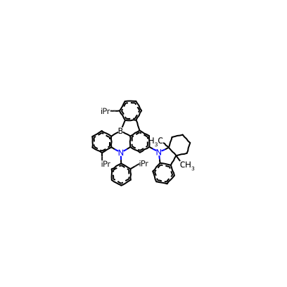 CC(C)c1ccccc1N1c2cc(N3c4ccccc4C4(C)CCCCC34C)cc3c2B(c2cccc(C(C)C)c21)c1c-3cccc1C(C)C